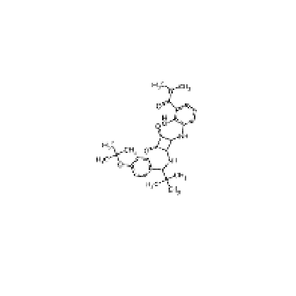 CN(C)C(=O)c1cccc(NC2C(=O)C(=O)C2NC(c2ccc(OC(C)(C)C)cc2)C(C)(C)C)c1O